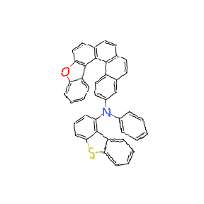 c1ccc(N(c2ccc3c(ccc4ccc5ccc6oc7ccccc7c6c5c43)c2)c2cccc3sc4ccccc4c23)cc1